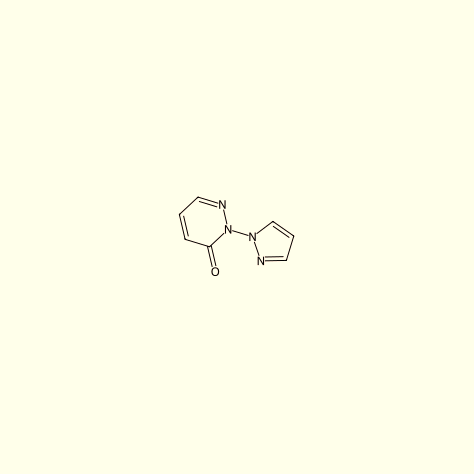 O=c1cccnn1-n1cccn1